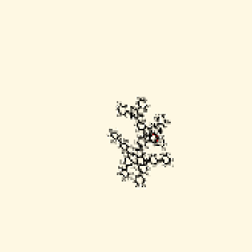 c1ccc(-c2ccc(N3c4ccc(-c5ccccc5)cc4B4c5cc(-c6ccccc6)ccc5N(c5ccc(-c6ccccc6)cc5)c5cc(-c6ccc7c(c6)c6ccccc6n7-c6ccc(-c7nc(-c8ccccc8)nc(-c8ccccc8)n7)cc6-c6nc(-c7ccccc7)nc(-c7ccccc7)n6)cc3c54)cc2)cc1